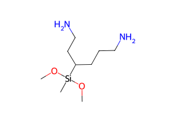 CO[Si](C)(OC)C(CCN)CCCN